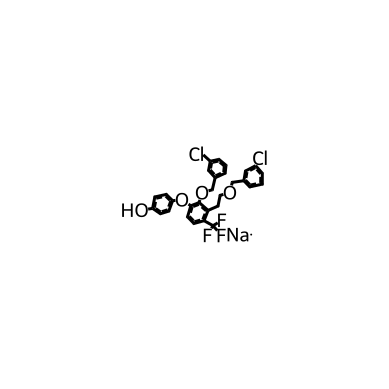 Oc1ccc(Oc2ccc(C(F)(F)F)c(CCOCc3cccc(Cl)c3)c2OCc2cccc(Cl)c2)cc1.[Na]